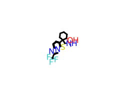 CNC(=S)C1(c2ccc3nc(C(F)(F)F)cn3c2)CCCCC1O